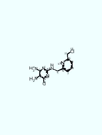 Nc1nc(NCc2cccc(CCl)n2)nc(Cl)c1N